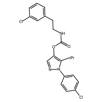 CCCc1c(OC(=O)NCCc2cccc(Cl)c2)cnn1-c1ccc(Cl)cc1